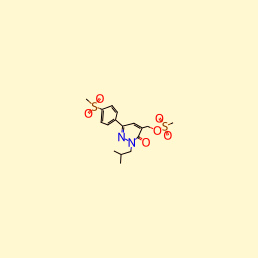 CC(C)Cn1nc(-c2ccc(S(C)(=O)=O)cc2)cc(COS(C)(=O)=O)c1=O